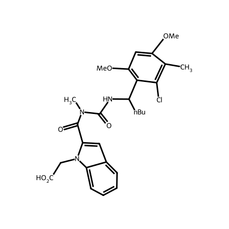 CCCCC(NC(=O)N(C)C(=O)c1cc2ccccc2n1CC(=O)O)c1c(OC)cc(OC)c(C)c1Cl